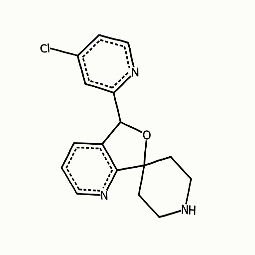 Clc1ccnc(C2OC3(CCNCC3)c3ncccc32)c1